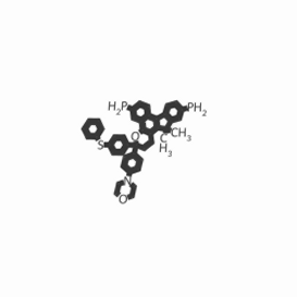 CC1(C)c2cc(P)ccc2-c2c1c1c(c3cc(P)ccc23)OC(c2ccc(Sc3ccccc3)cc2)(c2ccc(N3CCOCC3)cc2)C=C1